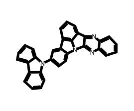 c1ccc2nc3c(nc2c1)c1cccc2c4cc(-n5c6ccccc6c6ccccc65)ccc4n3c21